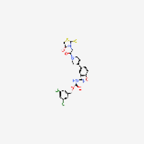 O=C(Nc1noc2ccc(C3=CCN(C(=O)CN4C(=O)CSC4=S)CC3)cc12)OCc1cc(Cl)cc(Cl)c1